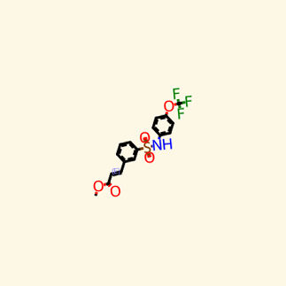 COC(=O)/C=C/c1cccc(S(=O)(=O)Nc2ccc(OC(F)(F)F)cc2)c1